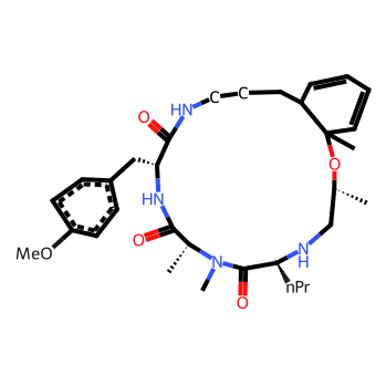 CCC[C@@H]1NC[C@@H](C)OC2(C)C=CC=CC2CCCNC(=O)[C@@H](Cc2ccc(OC)cc2)NC(=O)[C@@H](C)N(C)C1=O